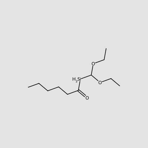 CCCCCC(=O)[SiH2]C(OCC)OCC